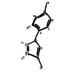 CC1=C[C](c2ccc(C)cc2)N=N1